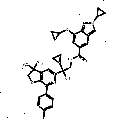 NC1(C(F)(F)F)COc2c1cc(C(O)(CNC(=O)c1cc(OC3CC3)c3nn(C4CC4)cc3c1)C1CC1)nc2-c1ccc(F)cc1